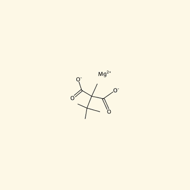 CC(C)(C)C(C)(C(=O)[O-])C(=O)[O-].[Mg+2]